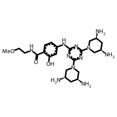 COCCNC(=O)c1ccc(Nc2nc(N3C[C@H](N)C[C@H](N)C3)nc(N3C[C@H](N)C[C@H](N)C3)n2)cc1O